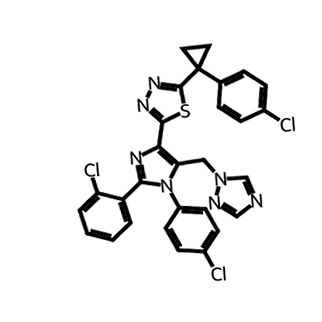 Clc1ccc(-n2c(-c3ccccc3Cl)nc(-c3nnc(C4(c5ccc(Cl)cc5)CC4)s3)c2Cn2cncn2)cc1